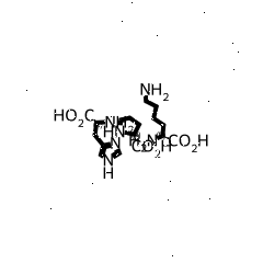 NCCCC[C@@H](N)C(=O)O.N[C@H](Cc1c[nH]cn1)C(=O)O.O=C(O)[C@H]1CCCN1